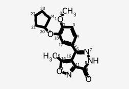 COc1ccc(-c2n[nH]c(=O)c3noc(C)c23)cc1OC1CCCC1